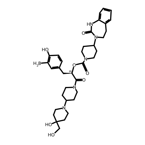 Bc1cc(C[C@@H](OC(=O)N2CCC(N3CCc4ccccc4NC3=O)CC2)C(=O)N2CCC(N3CCC(O)(CO)CC3)CC2)ccc1O